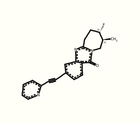 C[C@H]1Cn2c(nc3cc(C#Cc4ccccn4)ccc3c2=O)CC[C@@H]1F